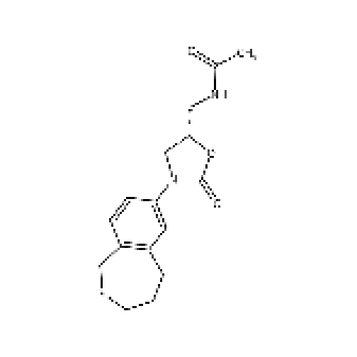 CC(=O)NC[C@H]1CN(c2ccc3c(c2)CCCSC3)C(=O)O1